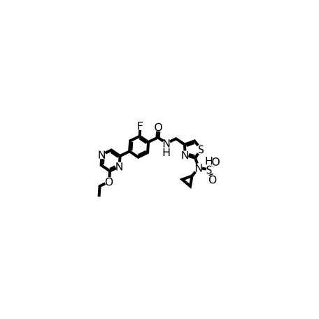 CCOc1cncc(-c2ccc(C(=O)NCc3csc(N(C4CC4)[SH](=O)=O)n3)c(F)c2)n1